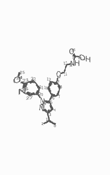 C=C(C)c1cc(-c2ccc(OCCNC(=O)O)cc2)n(-c2ccc(OC)nc2)n1